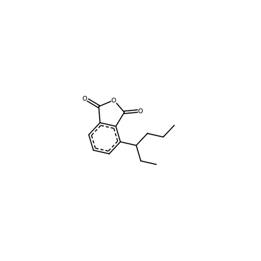 CCCC(CC)c1cccc2c1C(=O)OC2=O